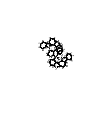 O=P(c1ccccc1)(c1ncccc1-c1cccc2sc3ccc4c5ccccc5[nH]c4c3c12)c1cccc2sc3ccc4c5ccccc5[nH]c4c3c12